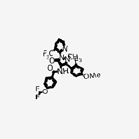 COc1ccc(-c2c(NC(=O)c3ccc(OC(F)F)cc3)c(=O)n(-c3ncccc3C(F)(F)F)n2C)c(F)c1